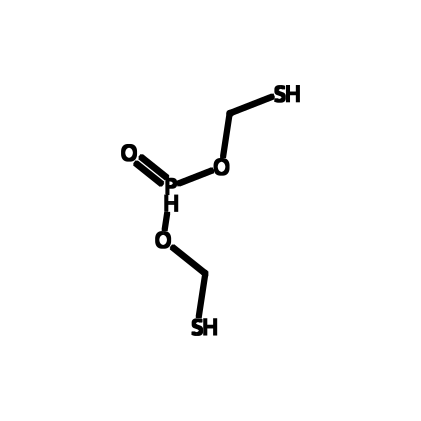 O=[PH](OCS)OCS